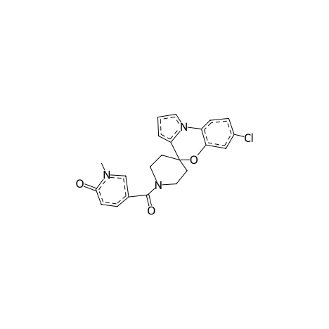 Cn1cc(C(=O)N2CCC3(CC2)Oc2cc(Cl)ccc2-n2cccc23)ccc1=O